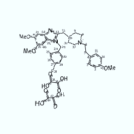 COc1ccc(CCN2CCC(Cc3nc4cc(OC)c(OC)cc4n3Cc3ccc(F)cc3)CC2)cc1.O=C(O)C(=O)O.O=C(O)C(=O)O